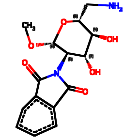 CO[C@@H]1O[C@H](CN)[C@@H](O)[C@H](O)[C@H]1N1C(=O)c2ccccc2C1=O